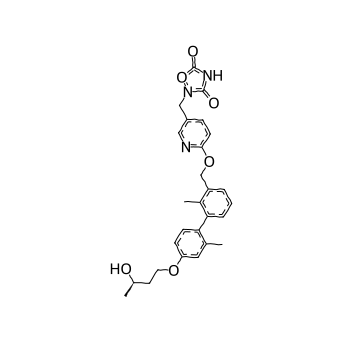 Cc1cc(OCC[C@@H](C)O)ccc1-c1cccc(COc2ccc(Cn3oc(=O)[nH]c3=O)cn2)c1C